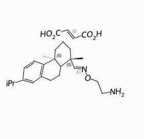 CC(C)c1ccc2c(c1)CCC1[C@@](C)(/C=N/OCCN)CCC[C@]21C.O=C(O)/C=C/C(=O)O